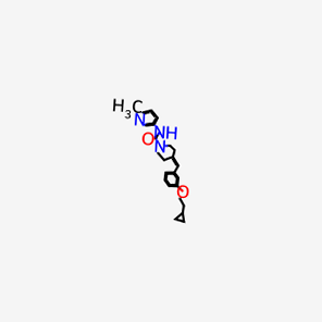 Cc1ccc(NC(=O)N2CCC(=Cc3cccc(OCCC4CC4)c3)CC2)cn1